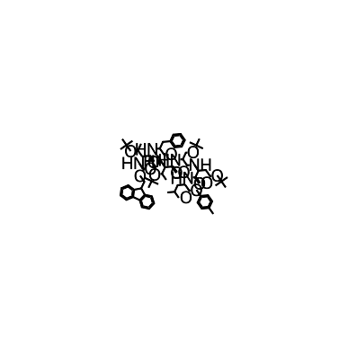 Cc1ccc(OC(=O)C(CC(C)C)NC(=O)C(CC(=O)OC(C)(C)C)NC(=O)C(COC(C)(C)C)NC(=O)C(NC(=O)C(Cc2ccccc2)NC(=O)C(NC(=O)OCC2c3ccccc3-c3ccccc32)C(C)OC(C)(C)C)C(C)OC(C)(C)C)cc1